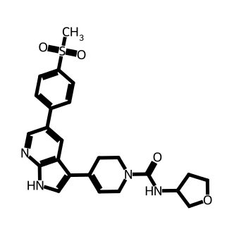 CS(=O)(=O)c1ccc(-c2cnc3[nH]cc(C4=CCN(C(=O)NC5CCOC5)CC4)c3c2)cc1